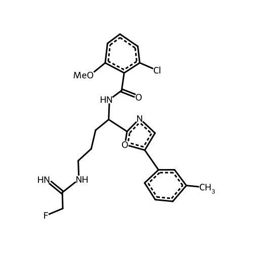 COc1cccc(Cl)c1C(=O)NC(CCCNC(=N)CF)c1ncc(-c2cccc(C)c2)o1